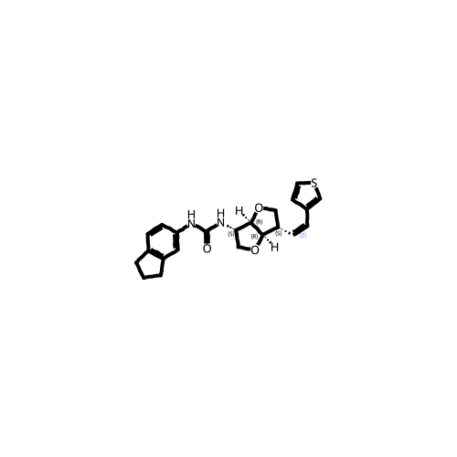 O=C(Nc1ccc2c(c1)CCC2)N[C@H]1CO[C@H]2[C@@H]1OC[C@@H]2/C=C\c1ccsc1